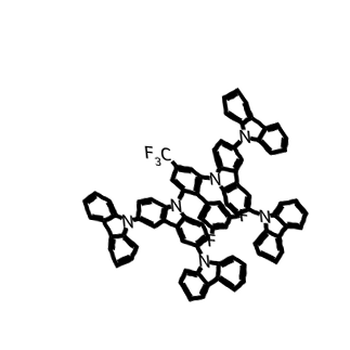 Fc1cc(F)cc(-c2c(-n3c4ccc(-n5c6ccccc6c6ccccc65)cc4c4cc(-n5c6ccccc6c6ccccc65)ccc43)cc(C(F)(F)F)cc2-n2c3ccc(-n4c5ccccc5c5ccccc54)cc3c3cc(-n4c5ccccc5c5ccccc54)ccc32)c1